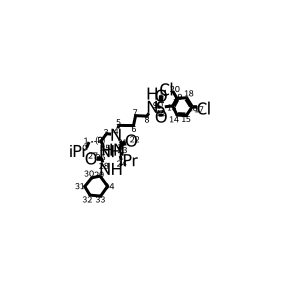 CC(C)C[C@H](CN(CCCCNS(=O)(=O)c1ccc(Cl)cc1Cl)C(=O)NC(C)C)NC(=O)NC1CCCCC1